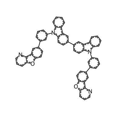 c1cc(-c2ccc3oc4cccnc4c3c2)cc(-n2c3ccccc3c3cc(-c4ccc5c(c4)c4ccccc4n5-c4cccc(-c5ccc6oc7cccnc7c6c5)c4)ccc32)c1